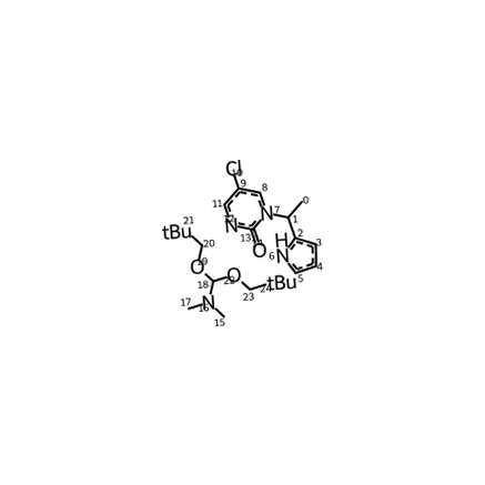 CC(c1ccc[nH]1)n1cc(Cl)cnc1=O.CN(C)C(OCC(C)(C)C)OCC(C)(C)C